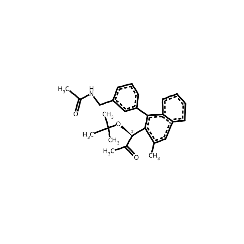 CC(=O)NCc1cccc(-c2c([C@H](OC(C)(C)C)C(C)=O)c(C)cc3ccccc23)c1